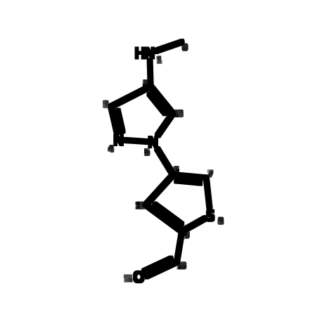 CNc1cnn(-c2csc(C=O)c2)c1